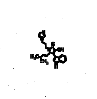 CC(C)C=CC1C(c2c[nH]c3ccccc23)=C(O)C(=O)N1CCCn1ccnc1